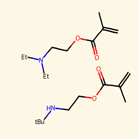 C=C(C)C(=O)OCCN(CC)CC.C=C(C)C(=O)OCCNC(C)(C)C